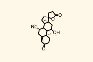 C[C@]12CCC(=O)C=C1C[C@@H](C#N)C1C2[C@H](O)C[C@@]2(C)C1CC[C@@]21CCC(=O)O1